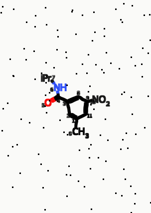 Cc1cc(C(=O)NC(C)C)cc([N+](=O)[O-])c1